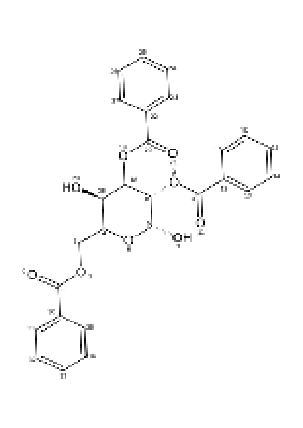 O=C(OCC1O[C@@H](O)[C@@H](OC(=O)c2ccccc2)C(OC(=O)c2ccccc2)[C@@H]1O)c1ccccc1